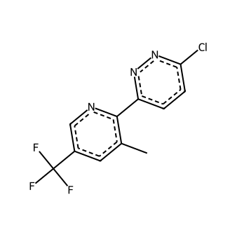 Cc1cc(C(F)(F)F)cnc1-c1ccc(Cl)nn1